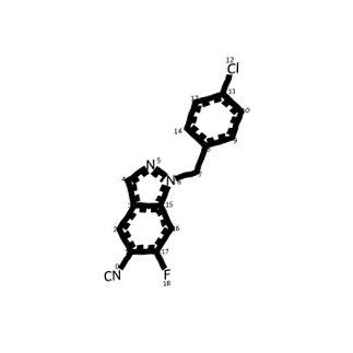 [C-]#[N+]c1cc2cnn(Cc3ccc(Cl)cc3)c2cc1F